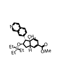 CC[Si](CC)(CC)O[C@@H]1C[C@H]2C=C(C(=O)OC)C=C[C@]2(C)[C@H]1c1ccc2ccncc2c1